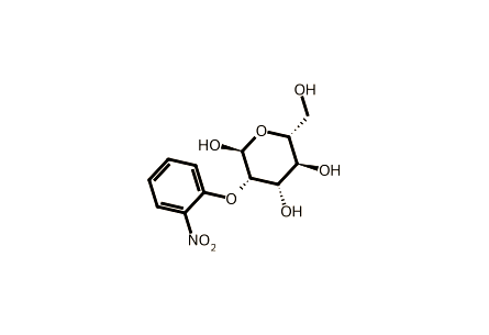 O=[N+]([O-])c1ccccc1O[C@H]1[C@@H](O)[C@H](O)[C@@H](CO)O[C@@H]1O